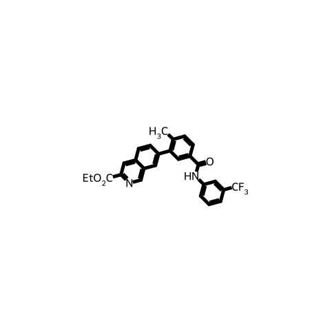 CCOC(=O)c1cc2ccc(-c3cc(C(=O)Nc4cccc(C(F)(F)F)c4)ccc3C)cc2cn1